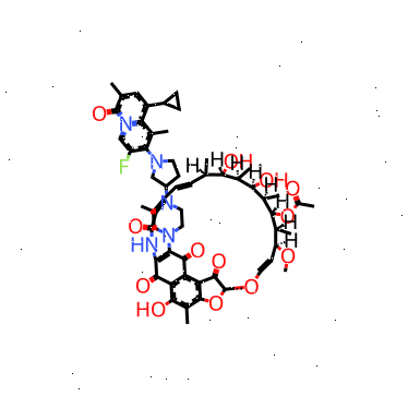 CO[C@H]1/C=C/O[C@@]2(C)Oc3c(C)c(O)c4c(c3C2=O)C(=O)C(N2CCN(C3CCN(c5c(F)cn6c(=O)c(C)cc(C7CC7)c6c5C)C3)CC2)=C(NC(=O)/C(C)=C\C=C\[C@H](C)[C@H](O)[C@@H](C)[C@@H](O)[C@@H](C)[C@H](OC(C)=O)[C@@H]1C)C4=O